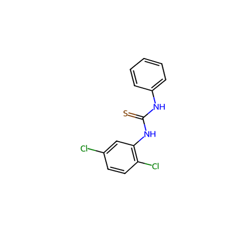 S=C(Nc1ccccc1)Nc1cc(Cl)ccc1Cl